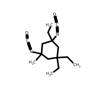 CCC1(CC)CC(C)(N=C=O)CC(CC)(N=C=O)C1